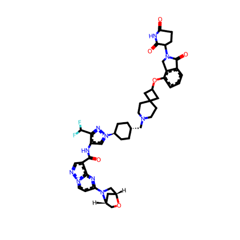 O=C1CCC(N2Cc3c(OC4CC5(CCN(C[C@H]6CC[C@H](n7cc(NC(=O)c8cnn9ccc(N%10C[C@H]%11C[C@@H]%10CO%11)nc89)c(C(F)F)n7)CC6)CC5)C4)cccc3C2=O)C(=O)N1